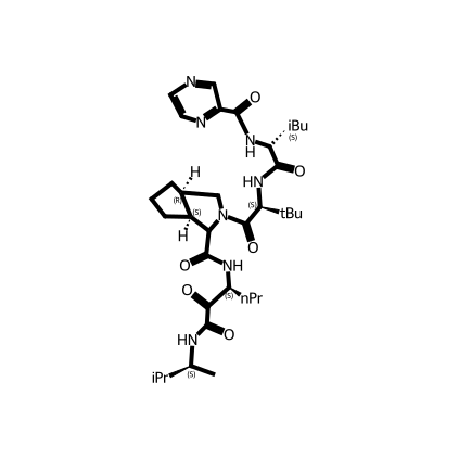 CCC[C@H](NC(=O)C1[C@H]2CCC[C@H]2CN1C(=O)[C@@H](NC(=O)C(NC(=O)c1cnccn1)[C@@H](C)CC)C(C)(C)C)C(=O)C(=O)N[C@@H](C)C(C)C